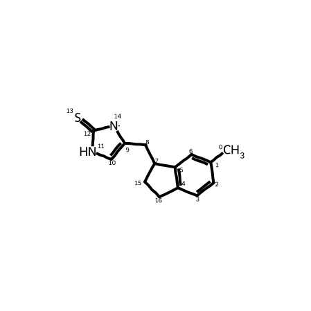 Cc1ccc2c(c1)C(CC1=CNC(=S)[N]1)CC2